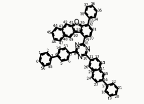 c1ccc(-c2ccc(-c3nc(-c4ccc5cc(-c6ccccc6)ccc5c4)nc(-c4ccc(-c5ccccc5)c5oc6cc7ccccc7cc6c45)n3)cc2)cc1